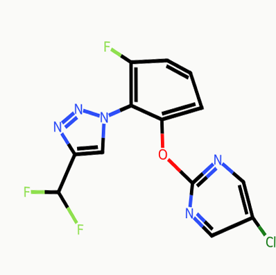 Fc1cccc(Oc2ncc(Cl)cn2)c1-n1cc(C(F)F)nn1